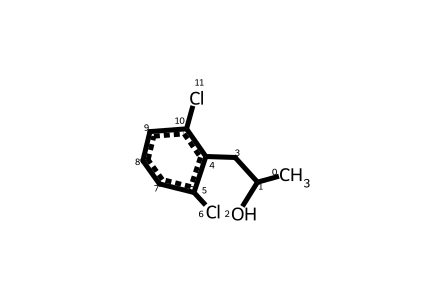 CC(O)Cc1c(Cl)cccc1Cl